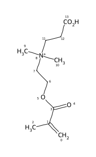 C=C(C)C(=O)OCC[N+](C)(C)CCC(=O)O